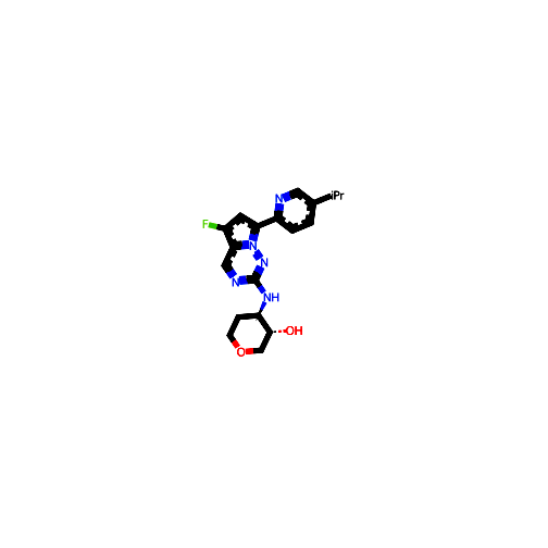 CC(C)c1ccc(-c2cc(F)c3cnc(N[C@@H]4CCOC[C@H]4O)nn23)nc1